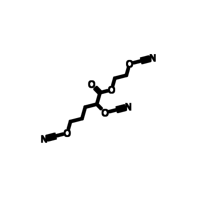 N#COCCCC(OC#N)C(=O)OCCOC#N